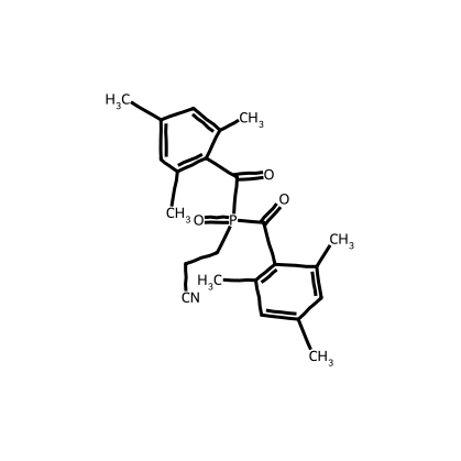 Cc1cc(C)c(C(=O)P(=O)(CCC#N)C(=O)c2c(C)cc(C)cc2C)c(C)c1